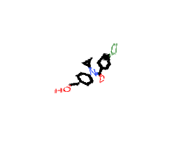 O=C(c1ccc(Cl)cc1)N(C1CC1)[C@H]1CC[C@H](CCO)CC1